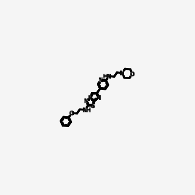 c1ccc(OCCNc2nn3cc(-c4ccc(NCCN5CCOCC5)nc4)nc3s2)cc1